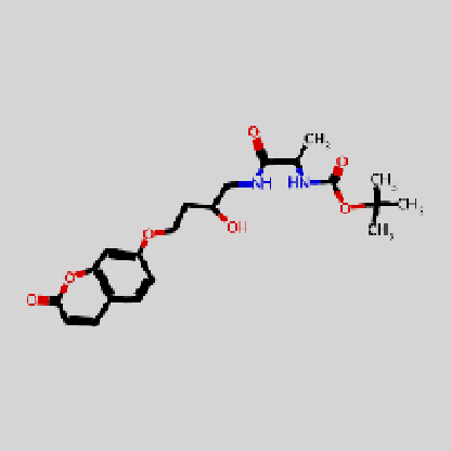 C[C@@H](NC(=O)OC(C)(C)C)C(=O)NCC(O)CCOc1ccc2ccc(=O)oc2c1